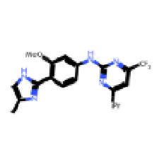 COc1cc(Nc2nc(C(C)C)cc(C(F)(F)F)n2)ccc1-c1nc(C)c[nH]1